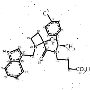 C[C@H](c1ccc(Cl)cc1)N(CCCC(=O)O)C(=O)[C@@]1(C)CCN1Cc1csc2ccccc12